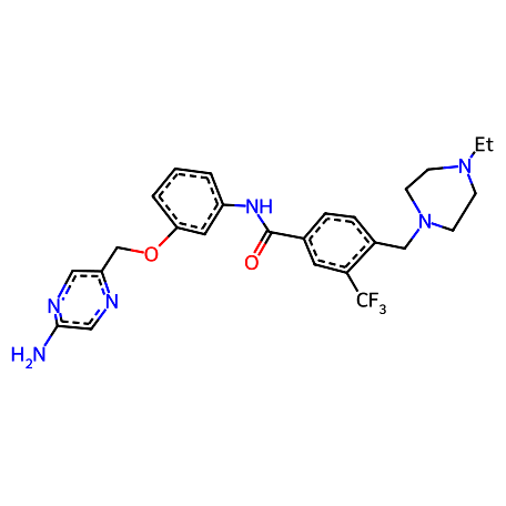 CCN1CCN(Cc2ccc(C(=O)Nc3cccc(OCc4cnc(N)cn4)c3)cc2C(F)(F)F)CC1